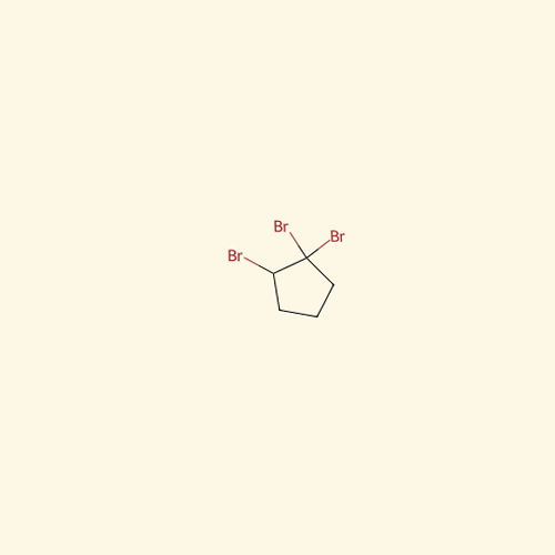 BrC1CCCC1(Br)Br